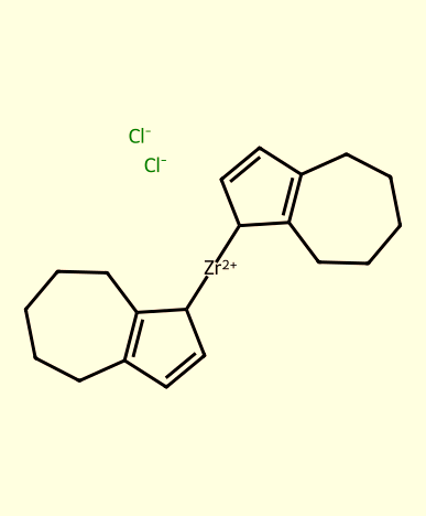 C1=C[CH]([Zr+2][CH]2C=CC3=C2CCCCC3)C2=C1CCCCC2.[Cl-].[Cl-]